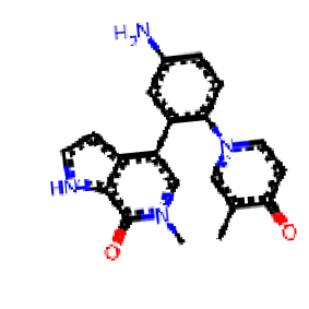 Cc1cn(-c2ccc(N)cc2-c2cn(C)c(=O)c3[nH]ccc23)ccc1=O